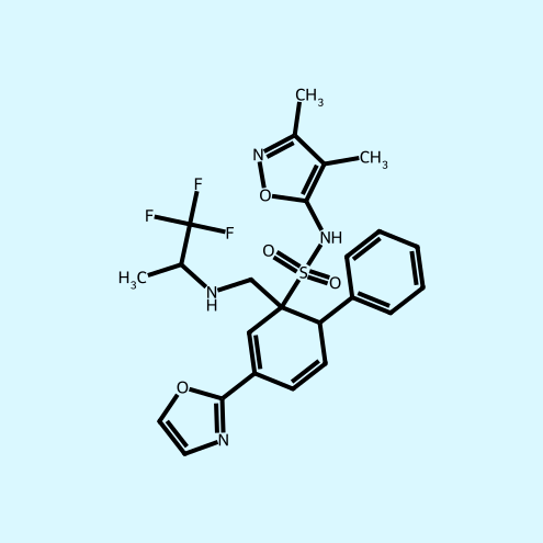 Cc1noc(NS(=O)(=O)C2(CNC(C)C(F)(F)F)C=C(c3ncco3)C=CC2c2ccccc2)c1C